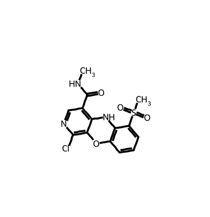 CNC(=O)c1cnc(Cl)c2c1Nc1c(cccc1S(C)(=O)=O)O2